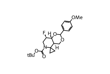 COc1ccc(C2OC[C@@H]3[C@@H](O2)[C@H](F)CN(C(=O)OC(C)(C)C)C32CC2)cc1